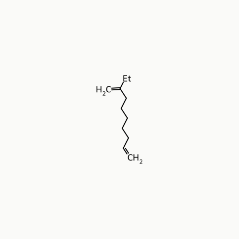 C=CCCCCCC(=C)CC